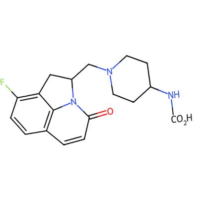 O=C(O)NC1CCN(CC2Cc3c(F)ccc4ccc(=O)n2c34)CC1